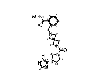 CNC(=O)c1ccccc1CN1CC2(C1)CN(C(=O)N1CC[C@H](c3ncn[nH]3)C1)C2